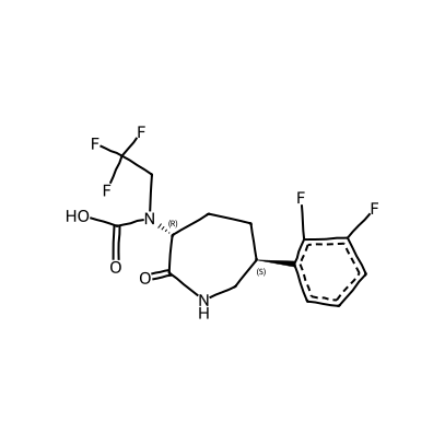 O=C1NC[C@H](c2cccc(F)c2F)CC[C@H]1N(CC(F)(F)F)C(=O)O